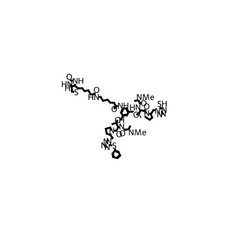 CNC(C)C(=O)NC(C(=O)N1CCCC1Cn1nnnc1Sc1ccccc1)C(C)OCc1cc(CO[C@H](C)C(NC(=O)C(C)NC)C(=O)N2CCCC2Cn2nnnc2S)cc(NC(=O)CCCCCNC(=O)CCCCC2SC[C@@H]3NC(=O)NC23)c1